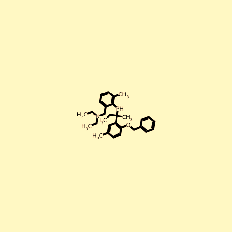 CCN(CC)Cc1cccc(C)c1PC(C)(CC)c1cc(C)ccc1OCc1ccccc1